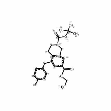 CCOC(=O)c1cc(Cc2ccc(F)cc2)c2c(n1)CN(C(=O)OC(C)(C)C)CC2